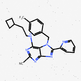 N#Cc1nc(NCCC2CCC2)c2c(n1)nc(-c1ccccn1)n2Cc1ccc(C(F)(F)F)cc1